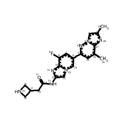 Cc1cn2nc(-c3cc(F)c4nc(NC(=O)CC5CNC5)cn4c3)cc(C)c2n1